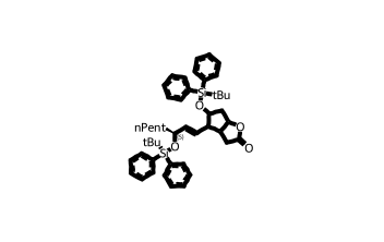 CCCCC[C@@H](C=CC1C(O[Si](c2ccccc2)(c2ccccc2)C(C)(C)C)CC2OC(=O)CC21)O[Si](c1ccccc1)(c1ccccc1)C(C)(C)C